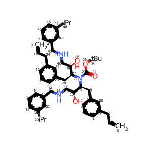 C=CCc1cccc(C[C@@H]([C@H](O)CNCc2cccc(C(C)C)c2)N(C(=O)OC(C)(C)C)[C@@H](Cc2cccc(CC=C)c2)[C@H](O)CNCc2cccc(C(C)C)c2)c1